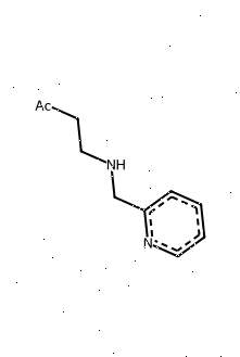 CC(=O)CCNCc1ccccn1